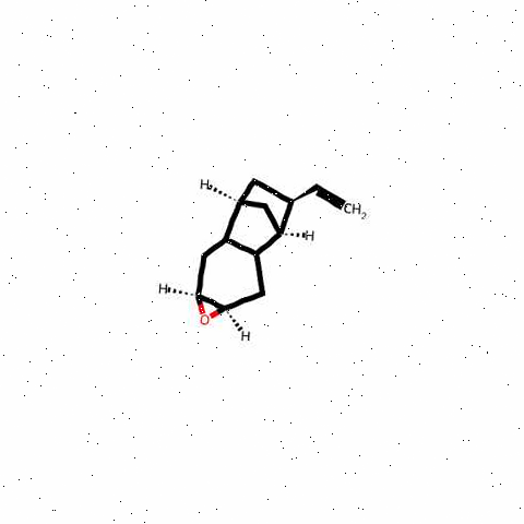 C=C[C@@H]1C[C@H]2C[C@@H]1C1C[C@H]3O[C@H]3CC12